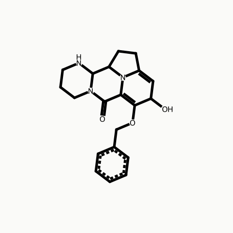 O=C1C2=C(OCc3ccccc3)C(O)C=C3CCC(C4NCCCN14)N32